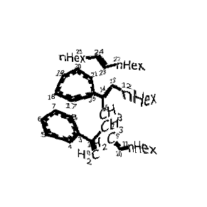 C=C(C)c1ccccc1.C=CCCCCCC.CCCCCCC=C(C)c1ccccc1.CCCCCCC=CCCCCCC